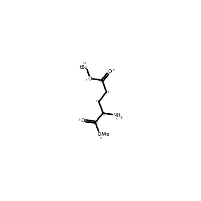 COC(=O)C(N)CCC(=O)OC(C)(C)C